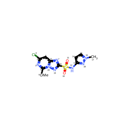 COc1nc(Cl)cc2nc(S(=O)(=O)Nc3ccn(C)n3)nn12